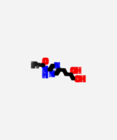 CC(C)C(=O)Nc1cnc(CC[C@H](O)CO)cn1